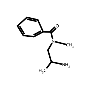 CC(N)CN(C)C(=O)c1ccccc1